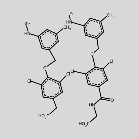 Cc1cc(COc2c(Cl)cc(C(=O)NCC(=O)O)cc2Cl)cc(NC(C)C)c1.Cc1cc(COc2c(Cl)cc(CC(=O)O)cc2Cl)cc(NC(C)C)c1